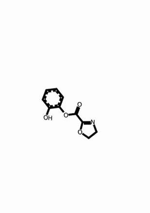 O=C(Oc1ccccc1O)C1=NCCO1